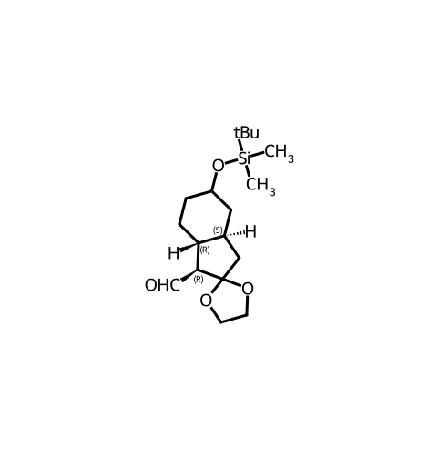 CC(C)(C)[Si](C)(C)OC1CC[C@@H]2[C@@H](C1)CC1(OCCO1)[C@H]2C=O